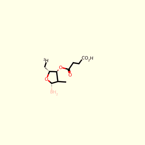 [2H]C[C@H]1O[C@@H](B)C(C)[C@H]1OC(=O)CCC(=O)O